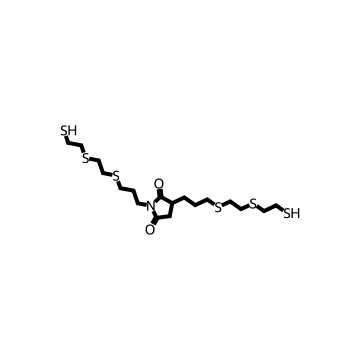 O=C1CC(CCCSCCSCCS)C(=O)N1CCCSCCSCCS